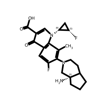 Cc1c(N2CCC3CCC[C@@]3(N)C2)c(F)cc2c(=O)c(C(=O)O)cn([C@@H]3C[C@@H]3F)c12